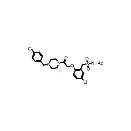 CC(=O)NS(=O)(=O)Cc1cc(Cl)ccc1OCC(=O)N1CCN(Cc2ccc(Cl)cc2)C[C@H]1C